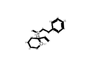 C=CC1([SiH](C)CCc2ccccc2)CCCCO1